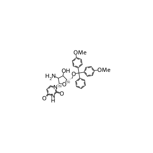 COc1ccc(C(OC[C@@H]2O[C@H](n3ccc(=O)[nH]c3=O)C(N)C2O)(c2ccccc2)c2ccc(OC)cc2)cc1